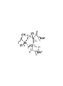 COC(C)[Si]1(C(C)C)O[Si](C(C)C)(C(C)OC)O[Si](C(C)C)(C(C)OC)O1